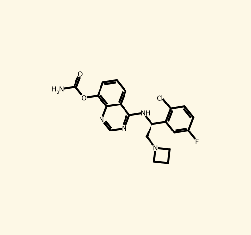 NC(=O)Oc1cccc2c(N[C@H](CN3CCC3)c3cc(F)ccc3Cl)ncnc12